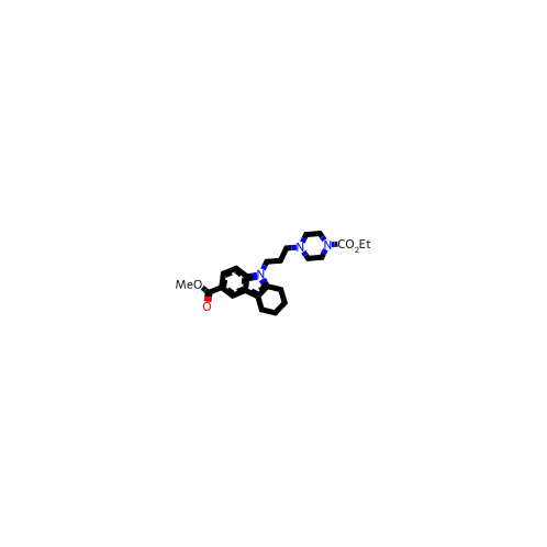 CCOC(=O)N1CCN(CCCn2c3c(c4cc(C(=O)OC)ccc42)CCCC3)CC1